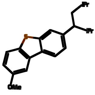 COc1ccc2sc3cc(C(CC(C)C)C(C)C)ccc3c2c1